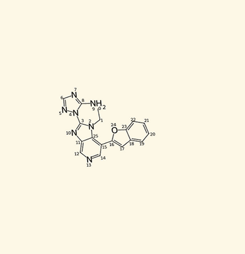 CCn1c(-n2ncnc2N)nc2cncc(-c3cc4ccccc4o3)c21